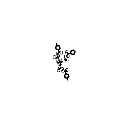 CCC(COC(=O)OOC(=O)c1ccccc1)(COC(=O)OOC(=O)c1ccc(C)cc1)COC(=O)OOC(=O)c1ccc(C)cc1